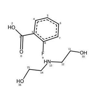 O=C(O)c1ccccc1F.OCCNCCO